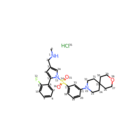 CNCc1cc(-c2ccccc2F)n(S(=O)(=O)c2cccc(N3CCC4(CCOCC4)CC3)c2)c1.Cl